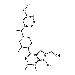 CCn1c(CC#N)nc2c(N3C[C@@H](C)N(C(C)c4ccnc(OC(C)C)c4)C[C@@H]3C)nc(=O)n(C)c21